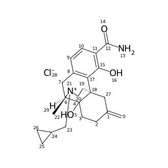 C=C1CCC2(O)[C@H]3Cc4ccc(C(N)=O)c(O)c4[C@@]2(CC[N@+]3(C)CC2CC2)C1.[Cl-]